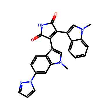 Cn1cc(C2=C(c3cn(C)c4cc(-n5cccn5)ccc34)C(=O)NC2=O)c2ccccc21